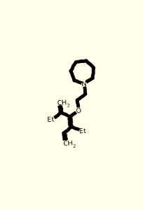 C=C/C(CC)=C(/OCCN1CCCCCC1)C(=C)CC